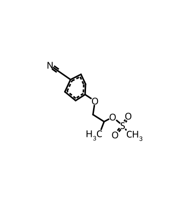 CC(COc1ccc(C#N)cc1)OS(C)(=O)=O